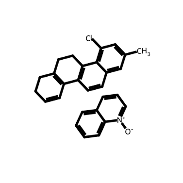 Cc1cc(Cl)c2c3c(ccc2c1)C1=C(CCC=C1)CC3.[O-][n+]1cccc2ccccc21